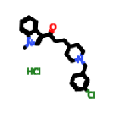 Cl.Cn1cc(C(=O)CCC2CCN(Cc3cccc(Cl)c3)CC2)c2ccccc21